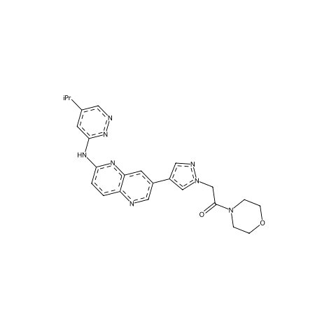 CC(C)c1cnnc(Nc2ccc3ncc(-c4cnn(CC(=O)N5CCOCC5)c4)cc3n2)c1